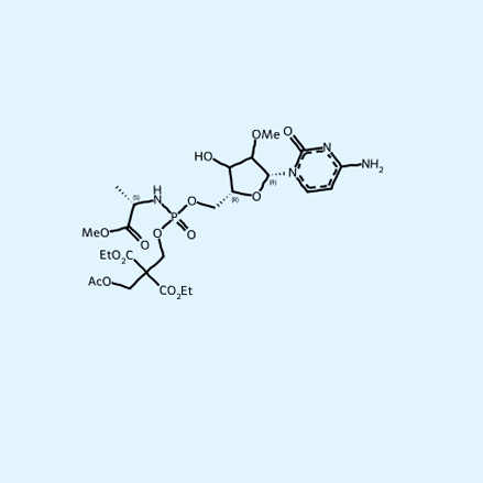 CCOC(=O)C(COC(C)=O)(COP(=O)(N[C@@H](C)C(=O)OC)OC[C@H]1O[C@@H](n2ccc(N)nc2=O)C(OC)C1O)C(=O)OCC